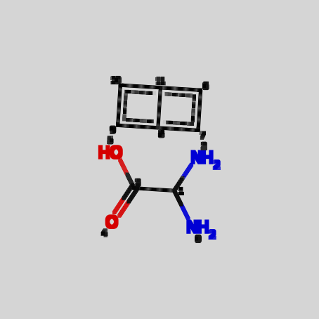 NC(N)C(=O)O.c1cc2ccc1-2